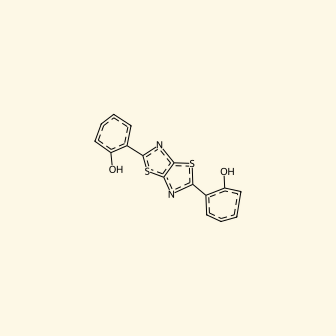 Oc1ccccc1-c1nc2sc(-c3ccccc3O)nc2s1